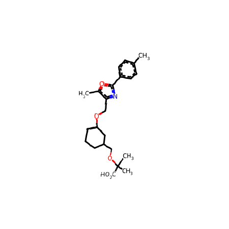 Cc1ccc(-c2nc(COC3CCCC(COC(C)(C)C(=O)O)C3)c(C)o2)cc1